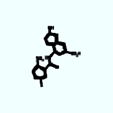 Cc1ccc([N+](=O)[O-])c(C(=O)Nc2cc(S(=O)(=O)O)cc3cc(O)ccc23)c1